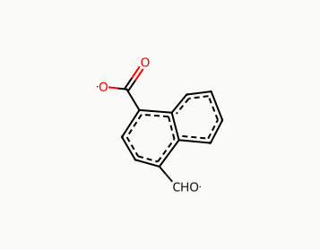 [O]C(=O)c1ccc([C]=O)c2ccccc12